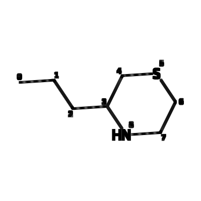 CCCC1CSCCN1